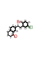 O=C1CCCc2ccc(CCc3cc(Cl)ccc3Br)cc21